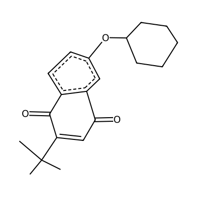 CC(C)(C)C1=CC(=O)c2cc(OC3CCCCC3)ccc2C1=O